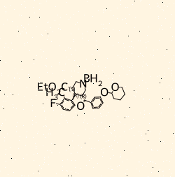 BN1C[C@H](C(=O)c2cccc(OC3CCCCO3)c2)[C@@H](c2cccc(F)c2C)[C@H](C(=O)OCC)C1